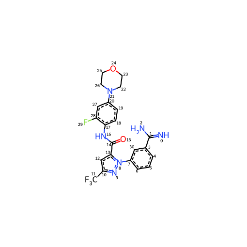 N=C(N)c1cccc(-n2nc(C(F)(F)F)cc2C(=O)Nc2ccc(N3CCOCC3)cc2F)c1